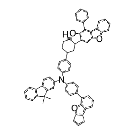 CC1(C)c2ccccc2-c2ccc(N(c3ccc(-c4cccc5c6c(oc45)C=C=C6)cc3)c3ccc(C4CC[C@H]5Oc6c(cc7oc8ccccc8c7c6-c6ccccc6)C5C4)cc3)cc21